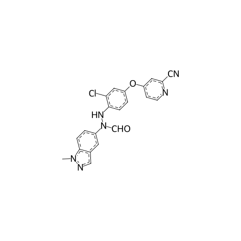 Cn1ncc2cc(N(C=O)Nc3ccc(Oc4ccnc(C#N)c4)cc3Cl)ccc21